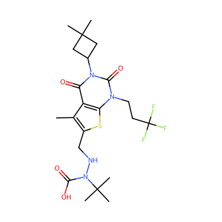 Cc1c(CNN(C(=O)O)C(C)(C)C)sc2c1c(=O)n(C1CC(C)(C)C1)c(=O)n2CCC(F)(F)F